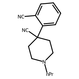 [CH2]CCN1CCC(C#N)(c2ccccc2C#N)CC1